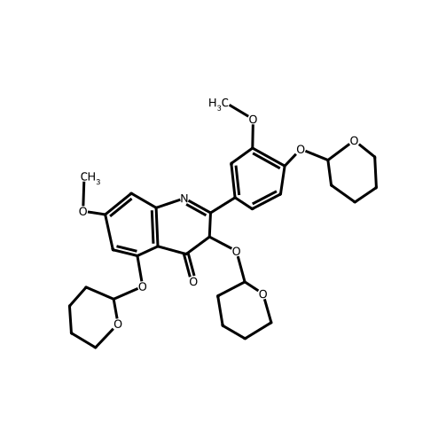 COc1cc2c(c(OC3CCCCO3)c1)C(=O)C(OC1CCCCO1)C(c1ccc(OC3CCCCO3)c(OC)c1)=N2